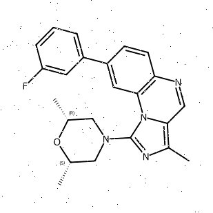 Cc1nc(N2C[C@@H](C)O[C@@H](C)C2)n2c1cnc1ccc(-c3cc[c]c(F)c3)cc12